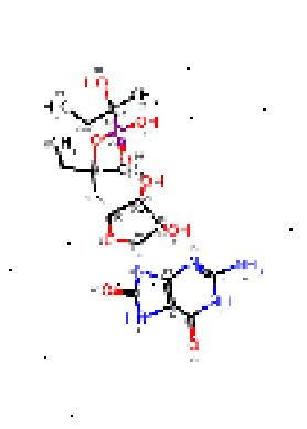 CCC(C)(C[C@H]1O[C@@H](n2c(=O)[nH]c3c(=O)[nH]c(N)nc32)[C@H](O)[C@@H]1O)OP(=O)(O)[C@@](C)(O)CC